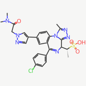 Cc1nnc2n1-c1ccc(-c3cnn(CC(=O)N(C)C)c3)cc1C(c1ccc(Cl)cc1)=NC2[C@@H](C)S(=O)(=O)O